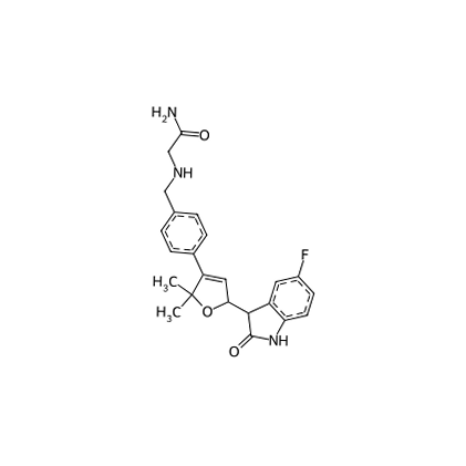 CC1(C)OC(C2C(=O)Nc3ccc(F)cc32)C=C1c1ccc(CNCC(N)=O)cc1